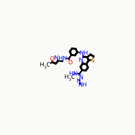 CN/C(=N\N=N)c1ccc2c(c1)nc(Nc1cccc(C(=O)NCc3cc(C)on3)c1)c1ccsc12